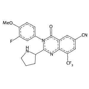 COc1ccc(-n2c(C3CCCN3)nc3c(C(F)(F)F)cc(C#N)cc3c2=O)cc1F